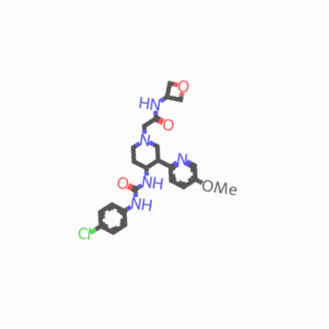 COc1ccc(C2CN(CC(=O)NC3COC3)CCC2NC(=O)Nc2ccc(Cl)cc2)nc1